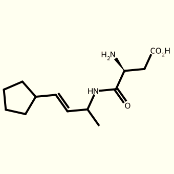 CC(/C=C/C1CCCC1)NC(=O)[C@@H](N)CC(=O)O